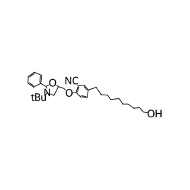 CC(C)(C)N1CC(COc2ccc(CCCCCCCCCCO)cc2C#N)OC1c1ccccc1